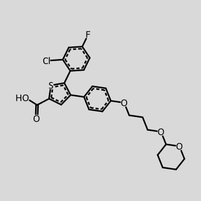 O=C(O)c1cc(-c2ccc(OCCCOC3CCCCO3)cc2)c(-c2ccc(F)cc2Cl)s1